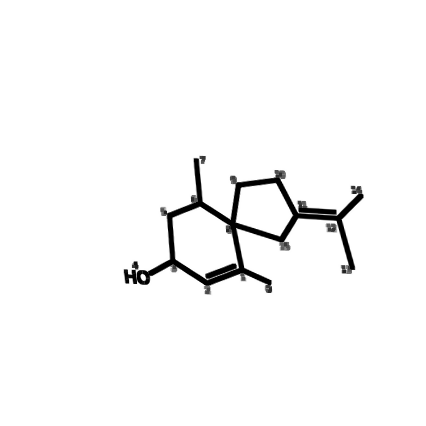 CC1=CC(O)CC(C)C12CCC(=C(C)C)C2